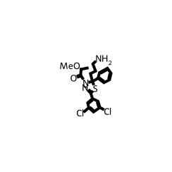 CO[C@@H](C)C(=O)N1N=C(c2cc(Cl)cc(Cl)c2)SC1(CCCN)c1ccccc1